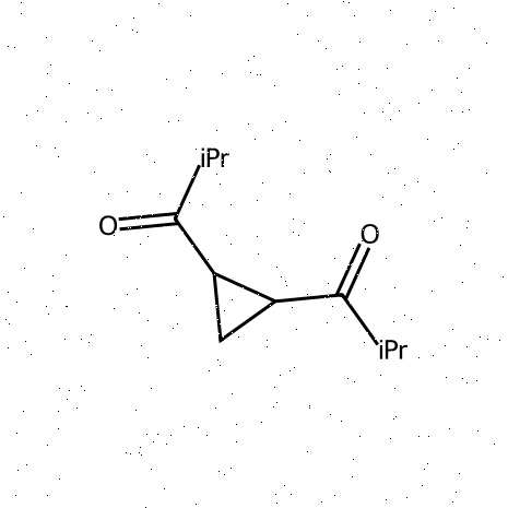 CC(C)C(=O)C1CC1C(=O)C(C)C